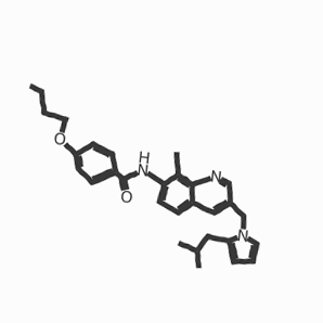 CCCCOc1ccc(C(=O)Nc2ccc3cc(Cn4cccc4CC(C)C)cnc3c2C)cc1